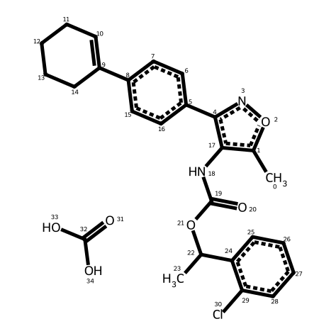 Cc1onc(-c2ccc(C3=CCCCC3)cc2)c1NC(=O)OC(C)c1ccccc1Cl.O=C(O)O